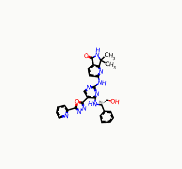 CC1(C)NC(=O)c2ccc(Nc3ncc(-c4nnc(-c5ccccn5)o4)c(N[C@H](CO)c4ccccc4)n3)nc21